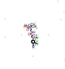 CC(C)(C)N(CCNC(=O)[C@@H]1CN(c2ccc(C#N)c(C(F)(F)F)c2)[C@@H](C(F)(F)F)O1)C(=O)O